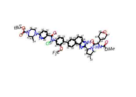 COC(=O)NC(C(=O)N1C[C@@H](C)C[C@H]1c1nc2c(ccc3cc(-c4ccc(N(Cl)C(=O)c5ccc(N6CCN(C(=O)OC(C)(C)C)CC6C)nc5)cc4OC(F)(F)F)ccc32)[nH]1)C1CCOCC1